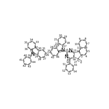 CC1(C)c2ccc3ccccc3c2-c2nc(-n3c4ccccc4c4cc(-c5ccc6c(c5)c5ccccc5n6-c5ccccc5)ccc43)nc(-c3ccccc3)c21